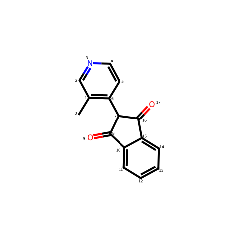 Cc1cnccc1C1C(=O)c2ccccc2C1=O